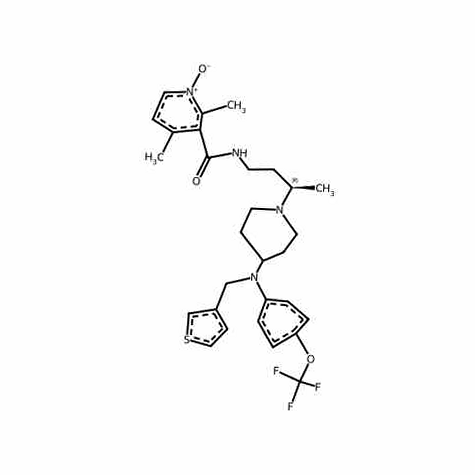 Cc1cc[n+]([O-])c(C)c1C(=O)NCC[C@@H](C)N1CCC(N(Cc2ccsc2)c2ccc(OC(F)(F)F)cc2)CC1